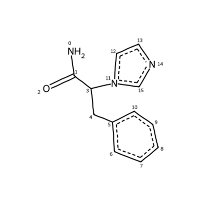 NC(=O)C(Cc1ccccc1)n1ccnc1